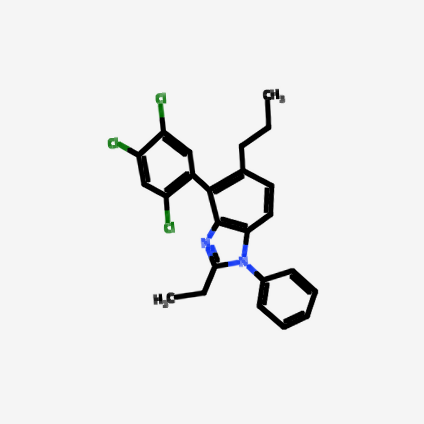 CCCc1ccc2c(nc(CC)n2-c2ccccc2)c1-c1cc(Cl)c(Cl)cc1Cl